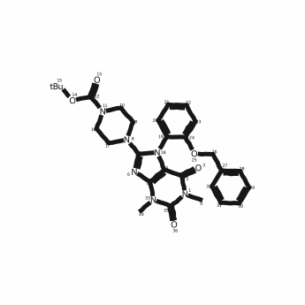 Cn1c(=O)c2c(nc(N3CCN(C(=O)OC(C)(C)C)CC3)n2-c2ccccc2OCc2ccccc2)n(C)c1=O